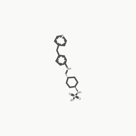 CC(C)S(=O)(=O)N[C@H]1CC[C@H](CNc2ccc(Cc3ccncc3)cc2)CC1